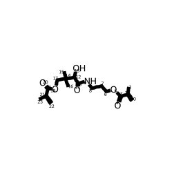 C=C(C)C(=O)OCCCNC(=O)C(O)C(C)(C)COC(=O)C(=C)C